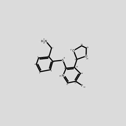 NCc1ccccc1Sc1ncc(F)cc1C1OCCO1